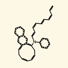 C=C\C=C/C=C/C=C\C=C\N(/C1=c2\cc3ccccc3c\c2=C\C/C=C\C=C/C1)c1ccccc1